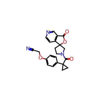 N#CCOc1ccc(C2(C(=O)N3CCC4(C3)OC(=O)c3cnccc34)CC2)cc1